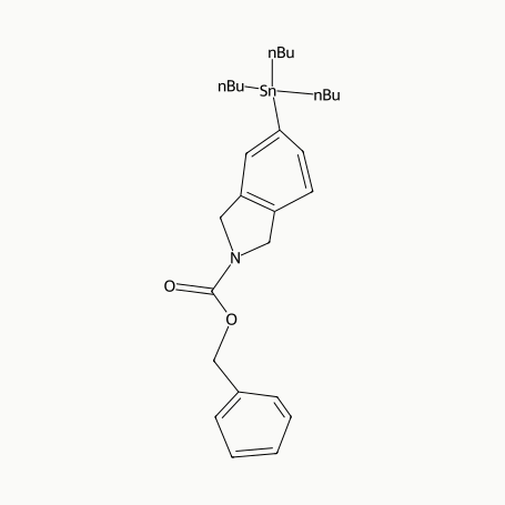 CCC[CH2][Sn]([CH2]CCC)([CH2]CCC)[c]1ccc2c(c1)CN(C(=O)OCc1ccccc1)C2